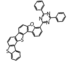 c1ccc(-c2nc(-c3ccccc3)nc(-c3cccc4c3oc3ccc5c6ccc7sc8ccccc8c7c6sc5c34)n2)cc1